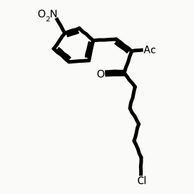 CC(=O)/C(=C/c1cccc([N+](=O)[O-])c1)C(=O)CCCCCCl